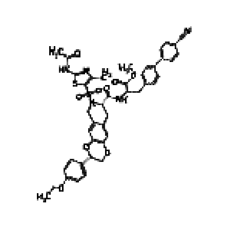 CCOc1ccc([C@H]2COc3cc4c(cc3O2)CN(S(=O)(=O)c2sc(NC(C)=O)nc2C)[C@H](C(=O)NC(Cc2ccc(-c3ccc(C#N)cc3)cc2)C(=O)OC)C4)cc1